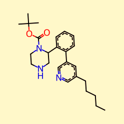 CCCCCc1cncc(-c2ccccc2C2CNCCN2C(=O)OC(C)(C)C)c1